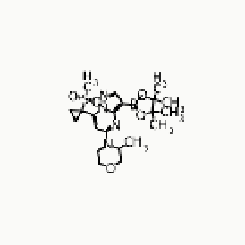 CC1COCCN1c1cc(C2(S(C)(=O)=O)CC2)n2ncc(B3OC(C)(C)C(C)(C)O3)c2n1